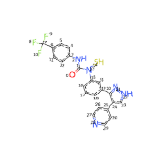 O=C(Nc1ccc(C(F)(F)F)cc1)N(S)c1cccc(-c2n[nH]cc2-c2ccncc2)c1